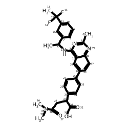 Cc1nc(NC(C)c2cccc(C(C)(F)F)c2)c2cc(-c3ccc(C(CC(=O)N(C)C)C(=O)O)cc3)ccc2n1